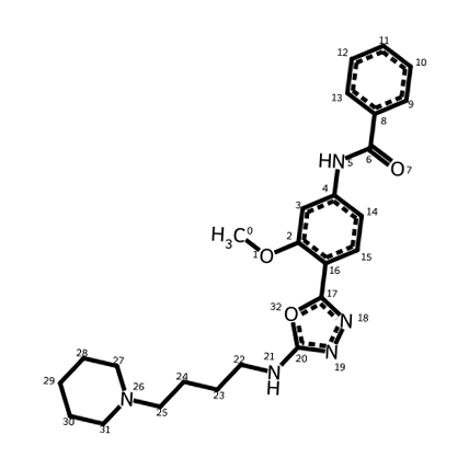 COc1cc(NC(=O)c2ccccc2)ccc1-c1nnc(NCCCCN2CCCCC2)o1